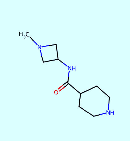 CN1CC(NC(=O)C2CCNCC2)C1